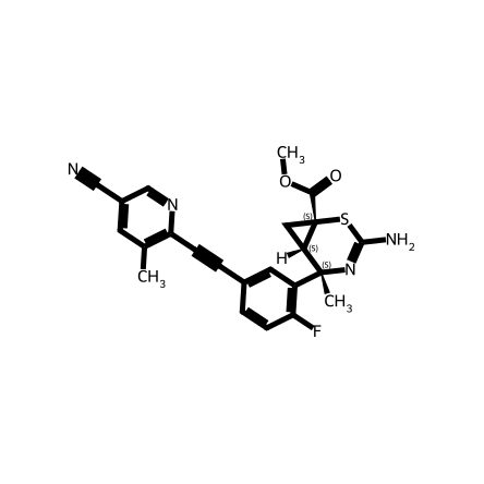 COC(=O)[C@]12C[C@H]1[C@@](C)(c1cc(C#Cc3ncc(C#N)cc3C)ccc1F)N=C(N)S2